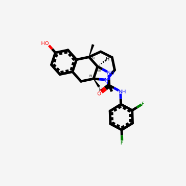 CN1CCC[C@@]2(C)c3cc(O)ccc3C[C@@H]1[C@@H]2NC(=O)Nc1ccc(F)cc1F